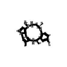 Cc1cn2ncc3c2nc1N[C@H](C)c1cc(F)ccc1O[C@@H](C)CN[S+]3[O-]